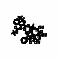 CC(=O)O[C@@]12CO[C@@H]1C[C@H](O)[C@@]1(C)C(=O)[C@H](O)C3=C(C)[C@@H](OC(=O)[C@H](O[Si](C)(C)C(C)(C)C)[C@@H](NC(=O)OC(C)(C)C)c4ccccc4)C[C@@](O)([C@@H](OC(=O)c4ccccc4)C12)C3(C)C